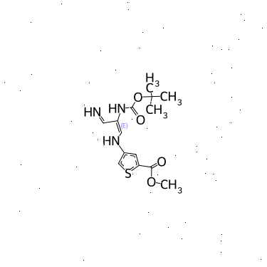 COC(=O)c1cc(N/C=C(\C=N)NC(=O)OC(C)(C)C)cs1